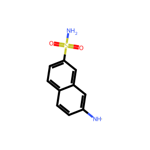 [NH]c1ccc2ccc(S(N)(=O)=O)cc2c1